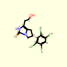 OCCc1[nH]c(=S)n2c1C[C@H](c1c(F)c(F)cc(F)c1F)C2